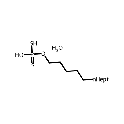 CCCCCCCCCCCCOP(O)(=S)S.O